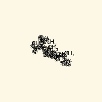 CCn1c2ccc(N(c3ccccc3)c3cccc4ccccc34)cc2c2cc(N(c3ccccc3)c3ccc4cc(-c5cc(C)cc(N(c6ccccc6)c6ccc(N(c7ccc(N(c8ccccc8)c8cccc(C)c8)cc7)c7ccc(N(c8ccccc8)c8cccc(C)c8)cc7)cc6)c5)c5cccc6ccc3c4c65)ccc21